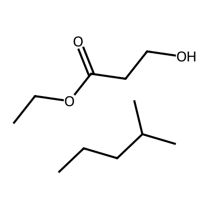 CCCC(C)C.CCOC(=O)CCO